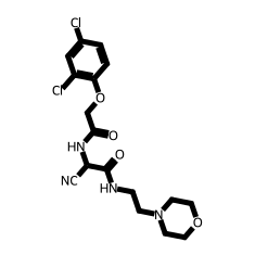 N#CC(NC(=O)COc1ccc(Cl)cc1Cl)C(=O)NCCN1CCOCC1